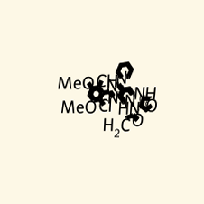 C=CC(=O)N[C@H]1COC[C@H]1Nc1cc2c(N3CCCCC3)nc(-c3c(C)c(OC)cc(OC)c3Cl)nc2cn1